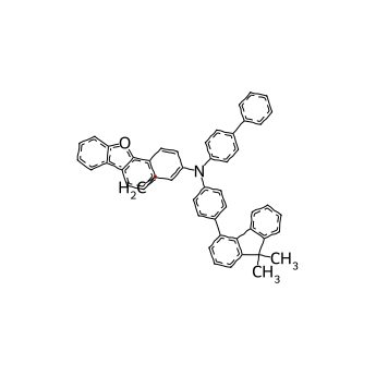 C=C/C=C(\C=C/c1cccc2c1oc1ccccc12)N(c1ccc(-c2ccccc2)cc1)c1ccc(-c2cccc3c2-c2ccccc2C3(C)C)cc1